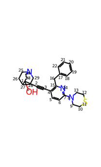 OC1(C#Cc2ccc(N3CCSCC3)nc2Cc2ccccc2)CN2CCC1CC2